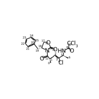 C[C@H](C=C(Cl)[C@H](C)NC(=O)C(Cl)(Cl)Cl)C(=O)N1C(=O)OC[C@H]1Cc1ccccc1